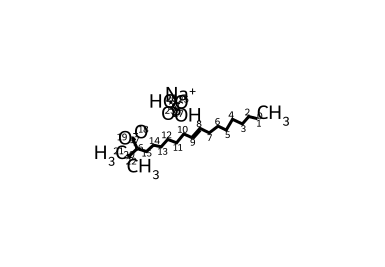 CCCCCCCCC=CCCCCCCC(C(=O)[O-])C(C)C.O=S(=O)(O)O.[Na+]